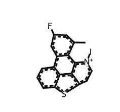 Cc1cc(F)cc2c3cccc4sc5cc[n+](I)c(c12)c5c43